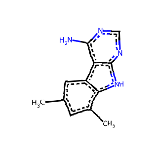 Cc1cc(C)c2[nH]c3ncnc(N)c3c2c1